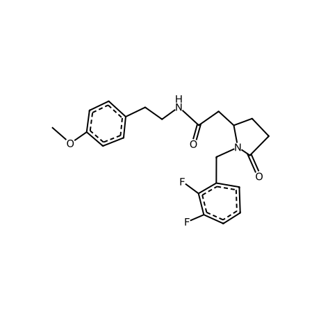 COc1ccc(CCNC(=O)CC2CCC(=O)N2Cc2cccc(F)c2F)cc1